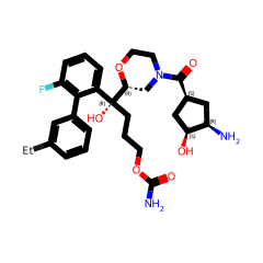 CCc1cccc(-c2c(F)cccc2[C@](O)(CCCOC(N)=O)[C@H]2CN(C(=O)[C@H]3C[C@@H](N)[C@@H](O)C3)CCO2)c1